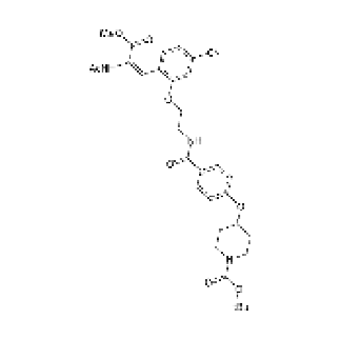 COC(=O)C(=Cc1ccc(C#N)cc1OCCNC(=O)c1ccc(OC2CCN(C(=O)OC(C)(C)C)CC2)cc1)NC(C)=O